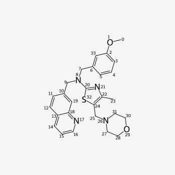 COc1cccc(CN(Cc2ccc3cccnc3c2)c2nc(C)c(CN3CCOCC3)s2)c1